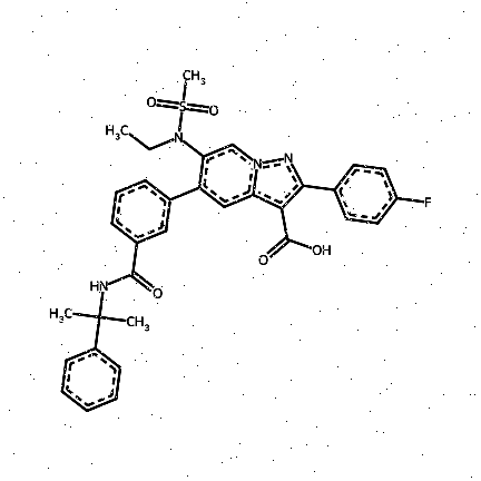 CCN(c1cn2nc(-c3ccc(F)cc3)c(C(=O)O)c2cc1-c1cccc(C(=O)NC(C)(C)c2ccccc2)c1)S(C)(=O)=O